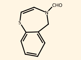 O=CN1C=CSc2ccccc2C1